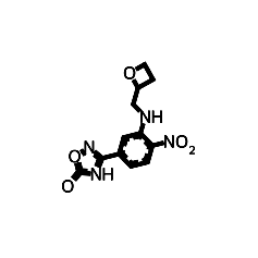 O=c1[nH]c(-c2ccc([N+](=O)[O-])c(NCC3CCO3)c2)no1